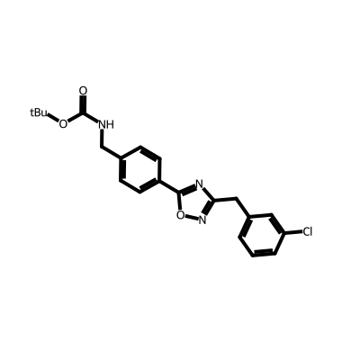 CC(C)(C)OC(=O)NCc1ccc(-c2nc(Cc3cccc(Cl)c3)no2)cc1